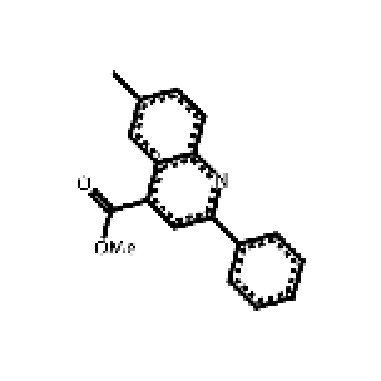 COC(=O)c1cc(-c2ccccc2)nc2ccc(C)cc12